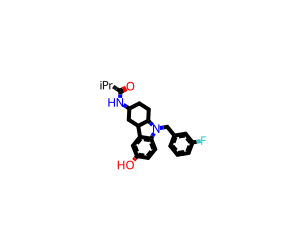 CC(C)C(=O)NC1CCC2C(C1)c1cc(O)ccc1N2Cc1cccc(F)c1